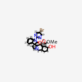 COC(=O)[C@H]1[C@@H](O)CCC2CN3CC[C@@]4(C(=O)N(c5ncc(Br)cn5)c5ccccc54)[C@@H]3C[C@@H]21